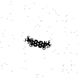 O=c1c2ccc3c4ccc5c(=O)n6c(nc7c(F)c(F)sc76)c6ccc(c7ccc(c2c37)c2nc3c(F)c(F)sc3n12)c4c56